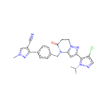 CC(C)n1ncc(Cl)c1-c1cc2n(n1)CCC(=O)N2Cc1ccc(-c2nn(C)cc2C#N)cc1